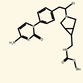 CCC(Cc1ccc(-n2ccc(N)nc2=O)cc1)N1CC2C(CNC(=O)OC(C)(C)C)C2C1